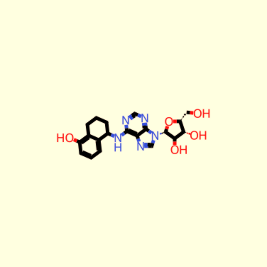 OC[C@H]1O[C@@H](n2cnc3c(NC4CCCc5c(O)cccc54)ncnc32)C(O)[C@H]1O